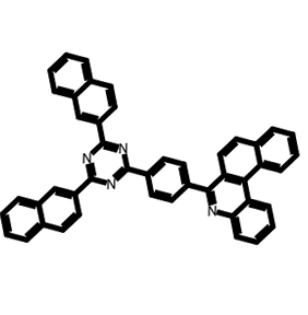 c1ccc2cc(-c3nc(-c4ccc(-c5nc6ccccc6c6c5ccc5ccccc56)cc4)nc(-c4ccc5ccccc5c4)n3)ccc2c1